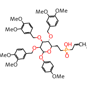 C=CCP(=O)(O)CC[C@H]1OC(Oc2ccc(OC)cc2)[C@@H](OCc2ccc(OC)c(OC)c2)[C@@H](OCc2ccc(OC)c(OC)c2)[C@@H]1OCc1ccc(OC)c(OC)c1